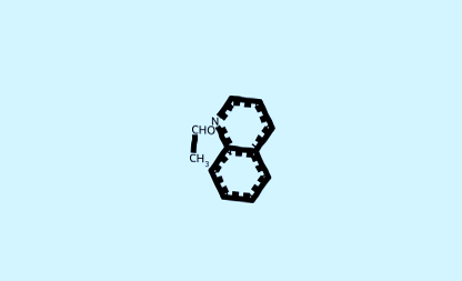 CC=O.c1ccc2ncccc2c1